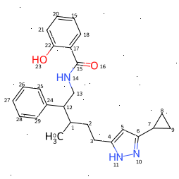 CC(CCc1cc(C2CC2)n[nH]1)C(CNC(=O)c1ccccc1O)c1ccccc1